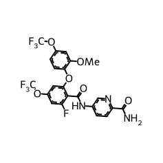 COc1cc(OC(F)(F)F)ccc1Oc1cc(OC(F)(F)F)cc(F)c1C(=O)Nc1ccc(C(N)=O)nc1